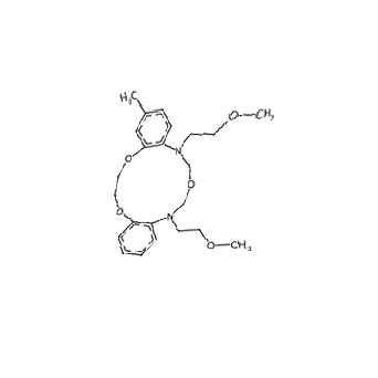 COCCN1COCN(CCOC)c2ccc(C)cc2OCCOc2ccccc21